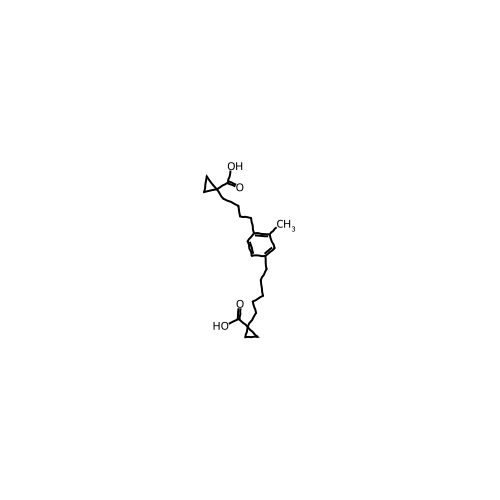 Cc1cc(CCCCCC2(C(=O)O)CC2)ccc1CCCCC1(C(=O)O)CC1